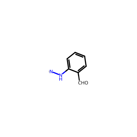 [N]Nc1ccccc1C=O